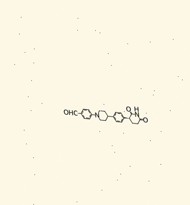 O=Cc1ccc(N2CCC(c3ccc([C@@H]4CCC(=O)NC4=O)cc3)CC2)cc1